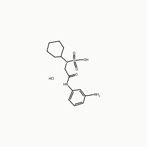 Cl.Nc1cccc(NC(=O)CN(C2CCCCC2)S(=O)(=O)O)c1